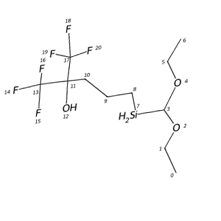 CCOC(OCC)[SiH2]CCCC(O)(C(F)(F)F)C(F)(F)F